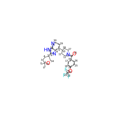 CC1(C)CC[C@@H](c2nc3c(C4CCN(C(=O)c5ccc(OC(F)(F)F)cc5)CC4)ccnc3[nH]2)CO1